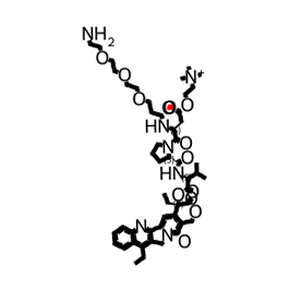 CCc1c2c(nc3ccccc13)-c1cc3c(c(=O)n1C2)COC(=O)[C@@]3(CC)OC(=O)[C@@H](NC(=O)[C@@H]1CCCN1C(=O)[C@H](CC(=O)OCC[N+](C)(C)C)NC(=O)CCOCCOCCOCCN)C(C)C